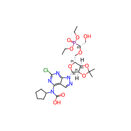 CCOP(=O)(OCC)[C@H](CO)OC[C@H]1O[C@@H](n2ncc3c(N(C(=O)O)C4CCCC4)nc(Cl)nc32)[C@@H]2OC(C)(C)O[C@@H]21